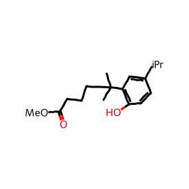 COC(=O)CCCC(C)(C)c1cc(C(C)C)ccc1O